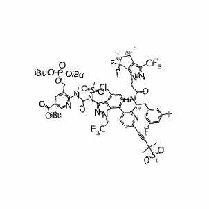 CC(C)COC(=O)c1cnc(N(C)C(=O)N(c2nn(CC(F)(F)F)c3c(-c4ccc(C#CC(C)(C)S(C)(=O)=O)nc4[C@H](Cc4cc(F)cc(F)c4)NC(=O)Cn4nc(C(F)(F)F)c5c4C(F)(F)[C@H](C)[C@@H]5C)ccc(Cl)c23)S(C)(=O)=O)c(COP(=O)(OCC(C)C)OCC(C)C)c1